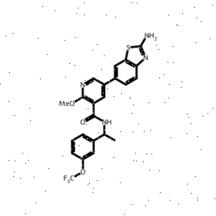 COc1ncc(-c2ccc3nc(N)sc3c2)cc1C(=O)NC(C)c1cccc(OC(F)(F)F)c1